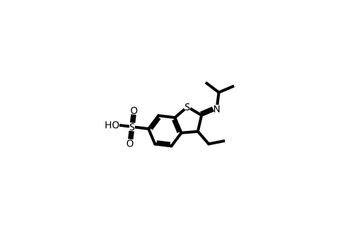 CCC1C(=NC(C)C)Sc2cc(S(=O)(=O)O)ccc21